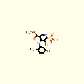 COC(=O)c1cnc(S(=O)(=O)O)c(Cl)c1Nc1cc(Cl)ccc1C